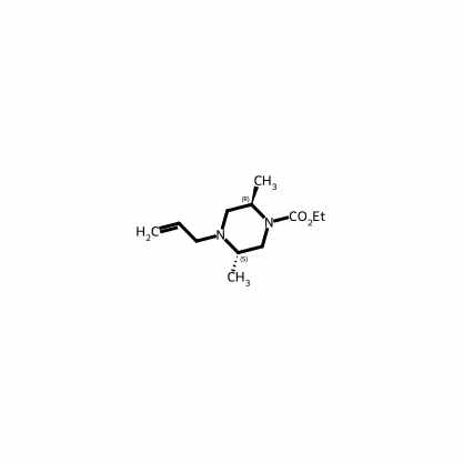 C=CCN1C[C@@H](C)N(C(=O)OCC)C[C@@H]1C